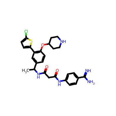 CC(NC(=O)CC(=O)Nc1ccc(C(=N)N)cc1)c1ccc(OC2CCNCC2)c(-c2ccc(Cl)s2)c1